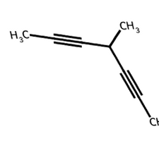 [CH2]C#CC(C)C#CC